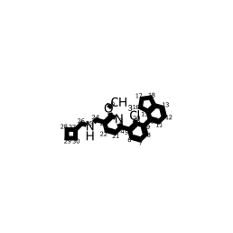 COc1nc(-c2cccc(-c3cccc4c3CCC4)c2Cl)ccc1CNCC1CCC1